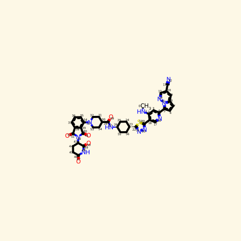 CNc1cc(-c2ccc3cc(C#N)cnn23)ncc1-c1nnc([C@H]2CC[C@H](NC(=O)C3CCN(c4cccc5c4C(=O)N(C4CCC(=O)NC4=O)C5=O)CC3)CC2)s1